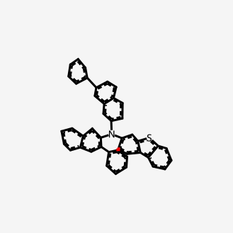 c1ccc(-c2ccc3ccc(N(c4ccc5c(c4)sc4ccccc45)c4cc5ccccc5cc4-c4ccccc4)cc3c2)cc1